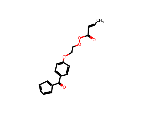 CC=CC(=O)OOCCOc1ccc(C(=O)c2ccccc2)cc1